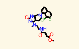 COC(=O)/C=C/C(=O)NCCN(C)c1nc(OC)nc2c1CCN(c1cccc3ccc(F)c(Cl)c13)C2